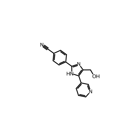 N#Cc1ccc(-c2nc(CO)c(-c3cccnc3)[nH]2)cc1